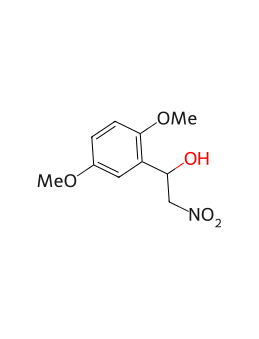 COc1ccc(OC)c(C(O)C[N+](=O)[O-])c1